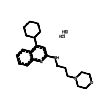 Cl.Cl.c1ccc2c(C3CCCCC3)cc(NCCCN3CCOCC3)nc2c1